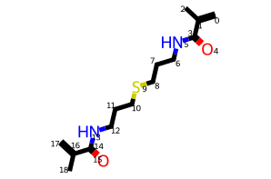 C=C(C)C(=O)NCCCSCCCNC(=O)C(=C)C